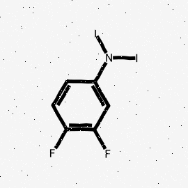 Fc1ccc(N(I)I)cc1F